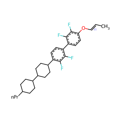 C/C=C/Oc1ccc(-c2ccc(C3CCC(C4CCC(CCC)CC4)CC3)c(F)c2F)c(F)c1F